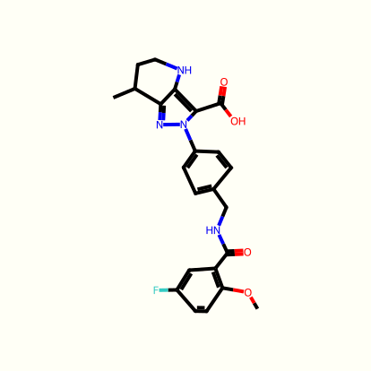 COc1ccc(F)cc1C(=O)NCc1ccc(-n2nc3c(c2C(=O)O)NCCC3C)cc1